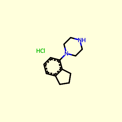 Cl.c1cc2c(c(N3CCNCC3)c1)CCC2